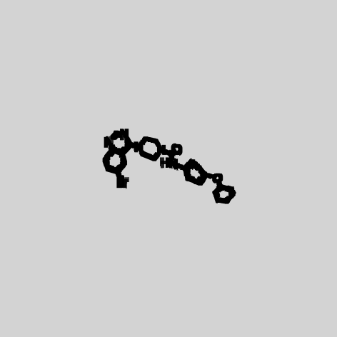 O=C(Nc1ccc(Oc2ccccc2)cc1)N1CCN(c2ncnc3ccc(Br)cc23)CC1